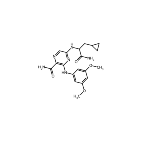 COc1cc(Nc2nc(NC(CC3CC3)C(N)=O)cnc2C(N)=O)cc(OC)c1